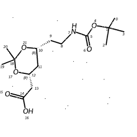 CC(C)(C)OC(=O)NCC[C@@H]1C[C@H](CC(=O)O)OC(C)(C)O1